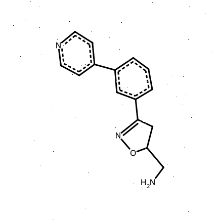 NCC1CC(c2cccc(-c3ccncc3)c2)=NO1